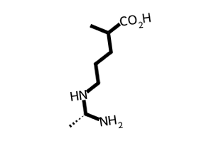 CC(CCCN[C@@H](C)N)C(=O)O